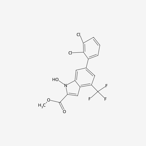 COC(=O)c1cc2c(C(F)(F)F)cc(-c3cccc(Cl)c3Cl)cc2n1O